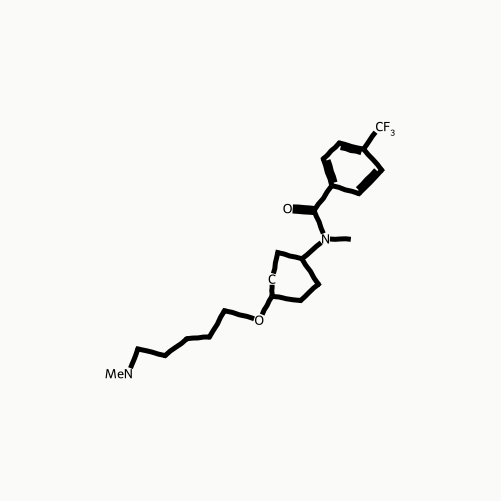 CNCCCCCOC1CCC(N(C)C(=O)c2ccc(C(F)(F)F)cc2)CC1